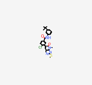 CSc1ncc2cc(-c3cc(C(=O)Nc4cccc(C(C)(C)C)c4)ccc3Cl)c(=O)n(C)c2n1